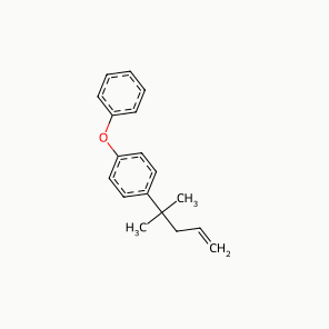 C=CCC(C)(C)c1ccc(Oc2ccccc2)cc1